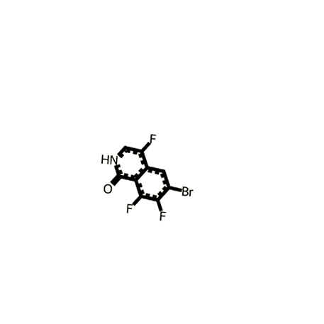 O=c1[nH]cc(F)c2cc(Br)c(F)c(F)c12